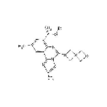 C=C(OCC)c1cc(C)cc2c1nc(N1CC3(COC3)C1)n1cc(C(F)(F)F)nc21